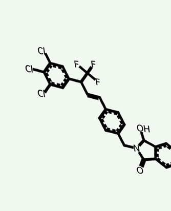 O=C1c2ccccc2C(O)N1Cc1ccc(/C=C/C(c2cc(Cl)c(Cl)c(Cl)c2)C(F)(F)F)cc1